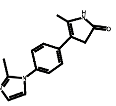 CC1=C(c2ccc(-n3ccnc3C)cc2)CC(=O)N1